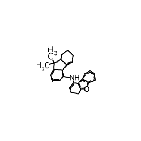 CC1(C)C2=CC=CC(NC3=CCCc4oc5ccccc5c43)C2C2=CCCCC21